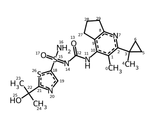 Cc1c(C2(C)CC2)nc2c(c1NC(=O)N=S(N)(=O)c1cnc(C(C)(C)O)s1)CCC2